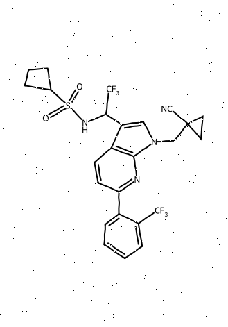 N#CC1(Cn2cc(C(NS(=O)(=O)C3CCC3)C(F)(F)F)c3ccc(-c4ccccc4C(F)(F)F)nc32)CC1